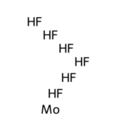 F.F.F.F.F.F.[Mo]